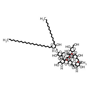 CCCCCCCCCCCCC/C=C/[C@@H](O)[C@H](CO[C@@H]1OC(CO)[C@@H](O[C@@H]2OC(CO)[C@H](O)[C@H](O[C@@H]3OC(CO)[C@@H](O[C@H]4OC(C)[C@@H](O)C(O)[C@@H]4O)[C@H](O[C@@H]4OC(CO)[C@H](O)[C@H](O[C@@H]5OC(CO)[C@@H](O)[C@H](O)C5NC(C)=O)C4O)C3NC(C)=O)C2O)[C@H](O)C1O)NC(=O)CCCCCCCCCCCCCCCCCCCCCCC